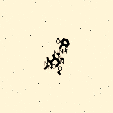 CCOC(=O)c1ncn2c(NCc3c(F)cccc3OC)ncc(-c3cnc(C)nc3C)c12